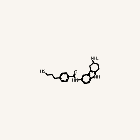 NC1CCc2[nH]c3ccc(NC(=O)c4ccc(CCCS)cc4)cc3c2C1